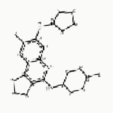 Cc1cc2c3c(c(NC4CCN(C)CC4)nc2cc1ON1CCCC1)CCC3